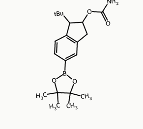 CC(C)(C)C1c2ccc(B3OC(C)(C)C(C)(C)O3)cc2CC1OC(N)=O